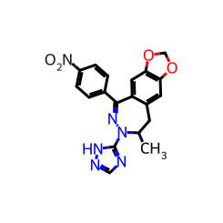 CC1Cc2cc3c(cc2C(c2ccc([N+](=O)[O-])cc2)=NN1c1ncn[nH]1)OCO3